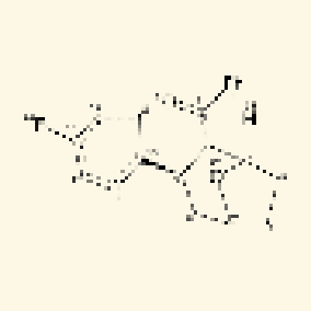 CCC(=O)[C@@H]1[C@H]2CCC(C[C@H]1c1ccc(F)cc1)O2